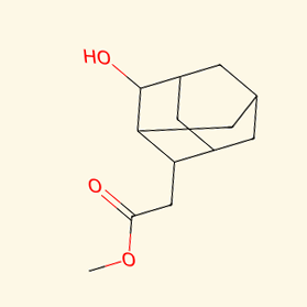 COC(=O)CC1C2CC3CC(C2)C(O)C1C3